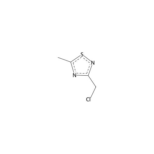 Cc1nc(CCl)ns1